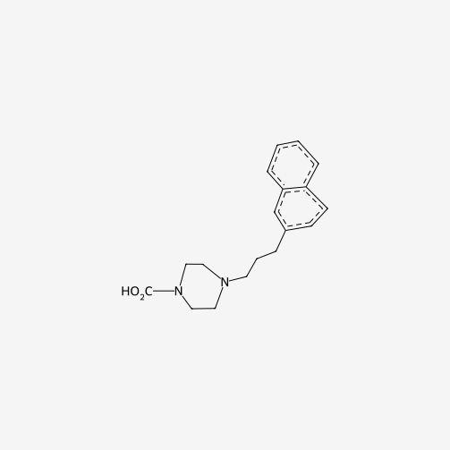 O=C(O)N1CCN(CCCc2ccc3ccccc3c2)CC1